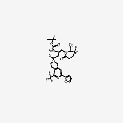 CC(C)(C)OC(=O)NC(CC(=O)N1CCc2c(nc(-c3ccco3)nc2C(F)(F)F)C1)CN1C(=O)CCC(F)(F)[C@@H]1O